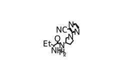 CC[C@H](N)C(=O)N[C@H]1CCN(c2nccnc2C#N)C1